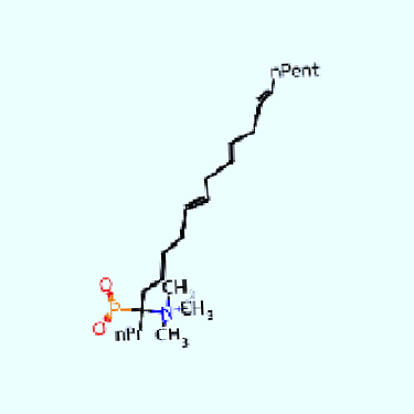 CCCCCC=CCCCCC=CCCCCC(CCC)(P(=O)=O)[N+](C)(C)C